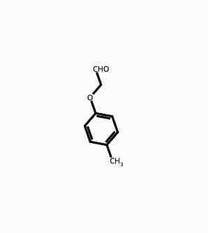 Cc1ccc(OCC=O)cc1